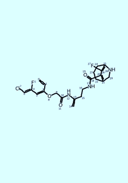 C=C/C(=C\C(F)=C\Cl)OCC(=O)NC(=C)CCNC(=O)C1=C2CCCC(=C1F)NC2